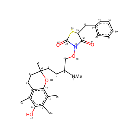 CNC(CCC1(C)CCc2c(C)c(O)c(C)c(C)c2O1)CON1C(=O)SC(Cc2ccccc2)C1=O